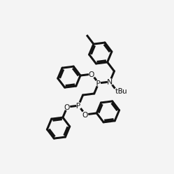 Cc1ccc(CN(P(CCP(Oc2ccccc2)Oc2ccccc2)Oc2ccccc2)C(C)(C)C)cc1